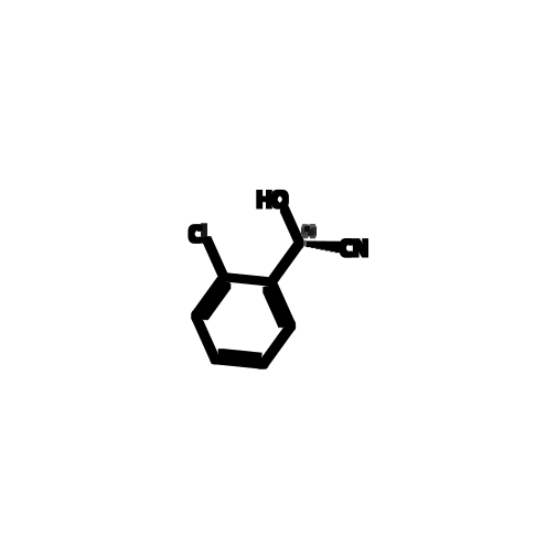 N#C[C@@H](O)c1ccccc1Cl